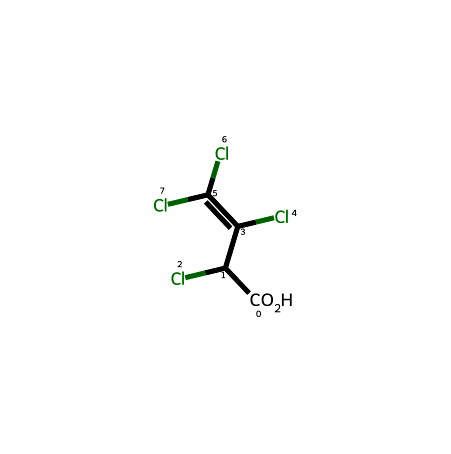 O=C(O)C(Cl)C(Cl)=C(Cl)Cl